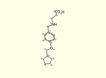 O=C(O)CCNCc1ccc(OCC2CCCC2)cc1